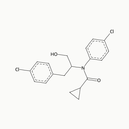 O=C(C1CC1)N(c1ccc(Cl)cc1)C(CO)Cc1ccc(Cl)cc1